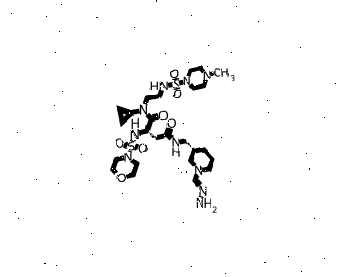 CN1CCN(S(=O)(=O)NCCN(C(=O)[C@H](CC(=O)NC[C@@H]2CCCN(C=NN)C2)NS(=O)(=O)N2CCOCC2)C2CC2)CC1